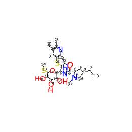 CCC[C@@H]1C[C@@H](C(=O)N[C@@H](C2OC(SC)C(O)C(O)C2O)[C@H](C)Sc2cnc(C)c(C)c2)N(C)C1